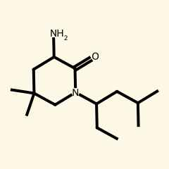 CCC(CC(C)C)N1CC(C)(C)CC(N)C1=O